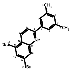 Cc1cc(C)cc(-c2ccc3c(C(C)(C)C)cc(C(C)(C)C)cc3n2)c1